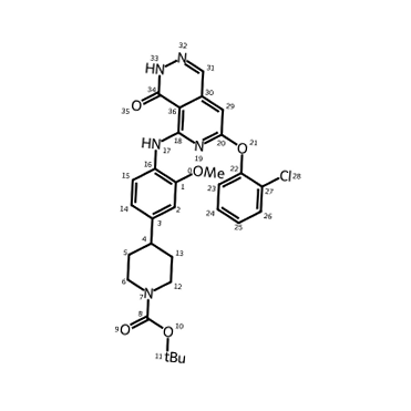 COc1cc(C2CCN(C(=O)OC(C)(C)C)CC2)ccc1Nc1nc(Oc2ccccc2Cl)cc2cn[nH]c(=O)c12